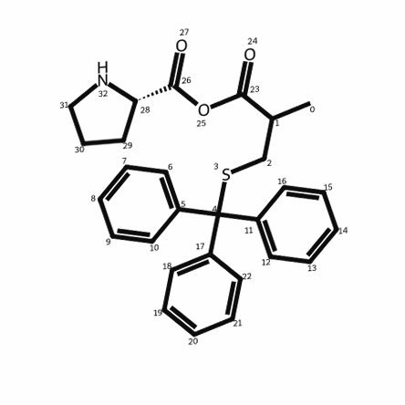 CC(CSC(c1ccccc1)(c1ccccc1)c1ccccc1)C(=O)OC(=O)[C@@H]1CCCN1